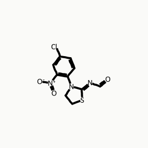 O=CN=C1SCCN1c1ccc(Cl)cc1[N+](=O)[O-]